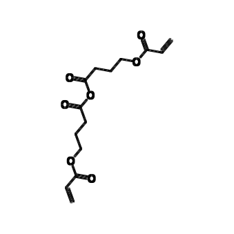 C=CC(=O)OCCCC(=O)OC(=O)CCCOC(=O)C=C